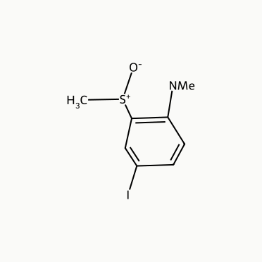 CNc1ccc(I)cc1[S+](C)[O-]